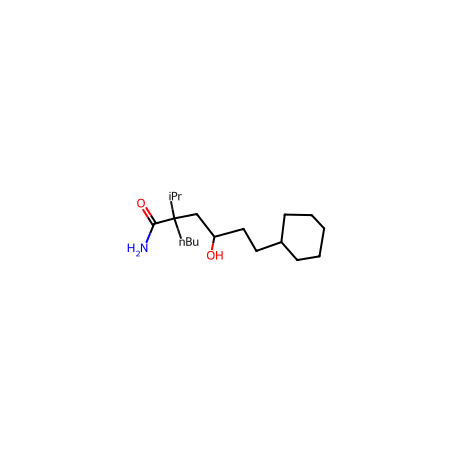 CCCCC(CC(O)CCC1CCCCC1)(C(N)=O)C(C)C